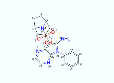 Nc1c(S(=O)(=O)N2C3CCC2CC(O)C3)c2nccnc2n1-c1ccccc1